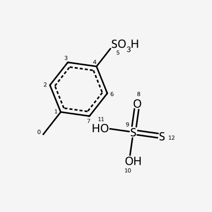 Cc1ccc(S(=O)(=O)O)cc1.O=S(O)(O)=S